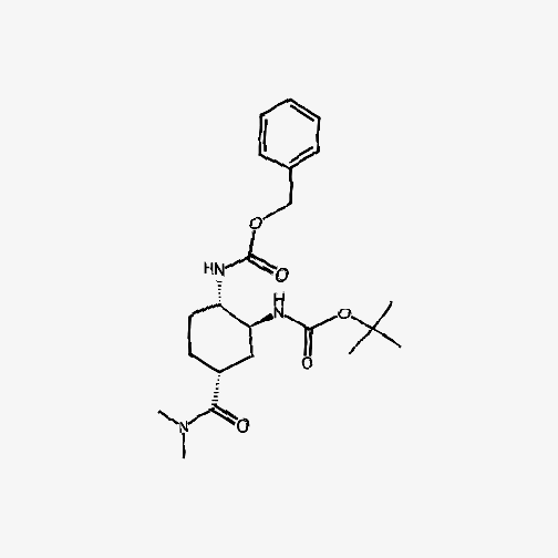 CN(C)C(=O)[C@@H]1CC[C@H](NC(=O)OCc2ccccc2)[C@@H](NC(=O)OC(C)(C)C)C1